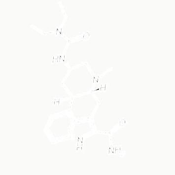 CCN(CC)C(=O)N[C@H]1C[C@@H]2c3cccc4[nH]c(C(N)=O)c(c34)C[C@H]2N(C)C1